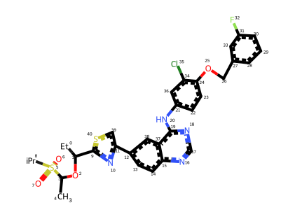 CCC(OC(C)S(=O)(=O)C(C)C)c1nc(-c2ccc3ncnc(Nc4ccc(OCc5cccc(F)c5)c(Cl)c4)c3c2)cs1